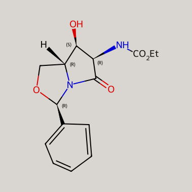 CCOC(=O)N[C@H]1C(=O)N2[C@@H](c3ccccc3)OC[C@@H]2[C@H]1O